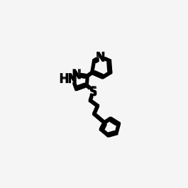 c1ccc(CCCSc2c[nH]nc2-c2cccnc2)cc1